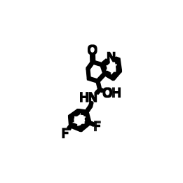 O=C1CCC(C(O)NCc2ccc(F)cc2F)c2cccnc21